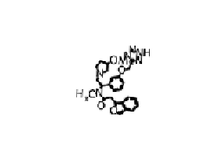 COC1CCN(CC(c2cccc(OCc3nn[nH]n3)c2)N(C)C(=O)Cc2occ3ccccc23)C1